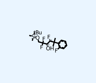 CC(C)(c1ccccc1F)[C@@H](F)[C@H](O)C(F)(F)CO[Si](C)(C)C(C)(C)C